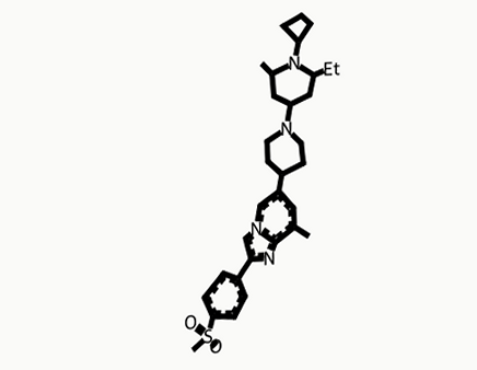 CCC1CC(N2CCC(c3cc(C)c4nc(-c5ccc(S(C)(=O)=O)cc5)cn4c3)CC2)CC(C)N1C1CCC1